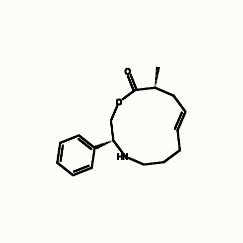 C[C@@H]1C/C=C/CCCN[C@H](c2ccccc2)COC1=O